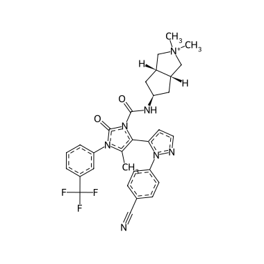 Cc1c(-c2ccnn2-c2ccc(C#N)cc2)n(C(=O)N[C@H]2C[C@@H]3C[N+](C)(C)C[C@@H]3C2)c(=O)n1-c1cccc(C(F)(F)F)c1